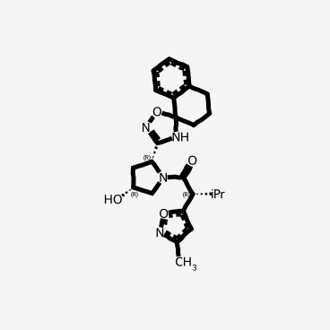 Cc1cc([C@H](C(=O)N2C[C@H](O)C[C@@H]2C2=NOC3(CCCc4ccccc43)N2)C(C)C)on1